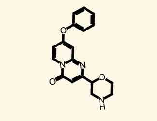 O=c1cc(C2CNCCO2)nc2cc(Oc3ccccc3)ccn12